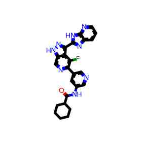 O=C(Nc1cncc(-c2ncc3[nH]nc(-c4nc5cccnc5[nH]4)c3c2F)c1)C1CCCCC1